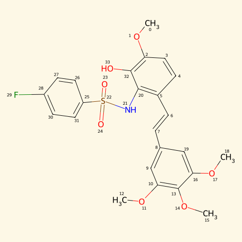 COc1ccc(C=Cc2cc(OC)c(OC)c(OC)c2)c(NS(=O)(=O)c2ccc(F)cc2)c1O